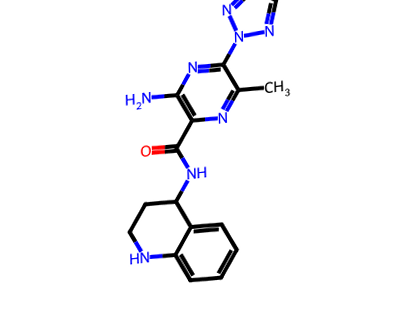 Cc1nc(C(=O)NC2CCNc3ccccc32)c(N)nc1-n1nccn1